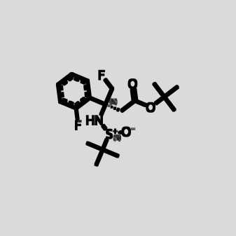 CC(C)(C)OC(=O)C[C@](CF)(N[S@+]([O-])C(C)(C)C)c1ccccc1F